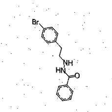 O=C(NNCCc1ccc(Br)cc1)c1ccccc1